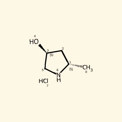 C[C@H]1C[C@H](O)CN1.Cl